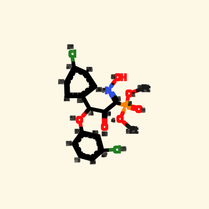 CCOP(=O)(OCC)/C(=N\O)C(=O)C(Oc1cccc(Cl)c1)c1ccc(Cl)cc1